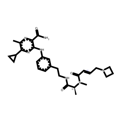 Cc1nc(C(N)=O)c(Nc2cccc(CCNC(=O)[C@H](C)N(C)C(=O)/C=C/CN3CCC3)c2)nc1C1CC1